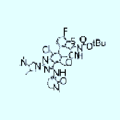 CC1CN(c2nc(N[C@@H]3CCCN(C)C3=O)c3c4c(c(-c5ccc(F)c6sc(NC(=O)OC(C)(C)C)c(C#N)c56)c(Cl)c3n2)COC4)CC1N(C)C